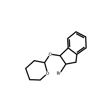 BrC1Cc2ccccc2C1OC1CCCCO1